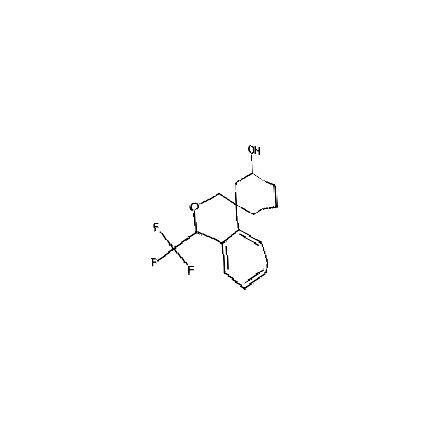 OC1CCCC2(COC(C(F)(F)F)c3ccccc32)C1